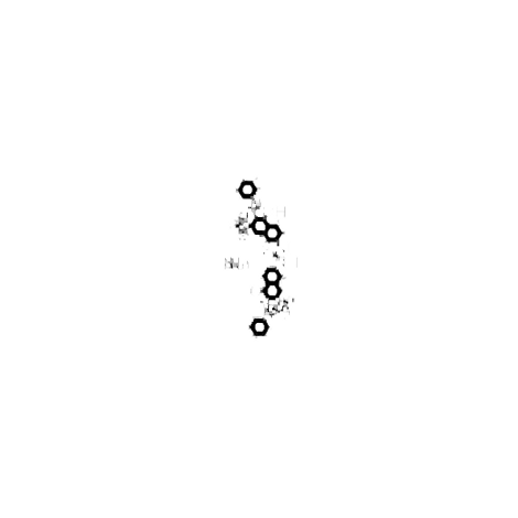 O=C(Nc1ccc2c(O)c(N=Nc3ccccc3)c(S(=O)(=O)[O-])cc2c1)Nc1ccc2c(O)c(N=Nc3ccccc3)c(S(=O)(=O)[O-])cc2c1.[Na+].[Na+]